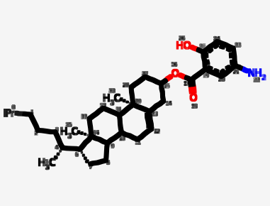 CC(C)CCC[C@@H](C)[C@H]1CCC2C3CC=C4CC(OC(=O)c5cc(N)ccc5O)CC[C@]4(C)C3CC[C@@]21C